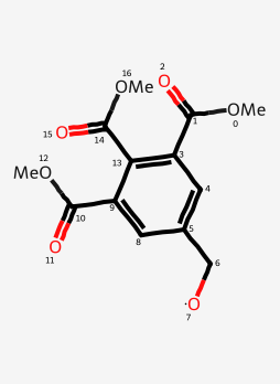 COC(=O)c1cc(C[O])cc(C(=O)OC)c1C(=O)OC